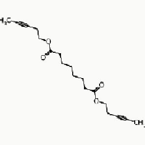 CC#CCCOC(=O)CCCCCCC(=O)OCCC#CC